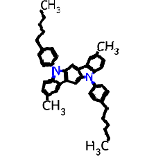 CCCCCCc1ccc(-n2c3ccc(C)cc3c3cc4c(cc32)c2cc(C)ccc2n4-c2ccc(CCCCCC)cc2)cc1